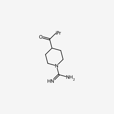 CC(C)C(=O)C1CCN(C(=N)N)CC1